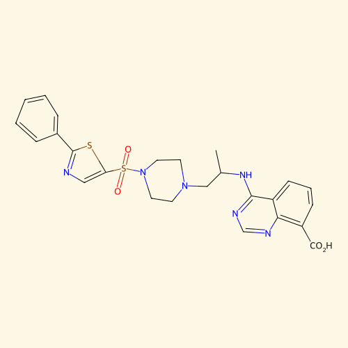 CC(CN1CCN(S(=O)(=O)c2cnc(-c3ccccc3)s2)CC1)Nc1ncnc2c(C(=O)O)cccc12